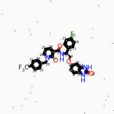 O=C(N[C@H](COc1ccc2[nH]c(=O)[nH]c2c1)c1ccc(F)cc1)c1cccn(Cc2ccc(C(F)(F)F)cc2)c1=O